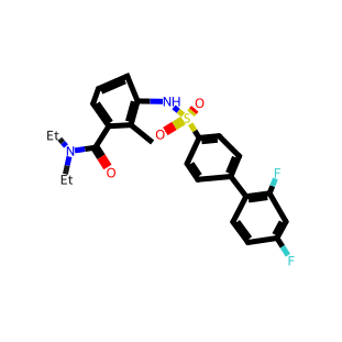 CCN(CC)C(=O)c1cccc(NS(=O)(=O)c2ccc(-c3ccc(F)cc3F)cc2)c1C